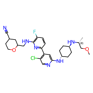 COC[C@@H](C)N[C@H]1CC[C@H](Nc2cc(-c3ccc(F)c(NCC4CC(C#N)CCO4)n3)c(Cl)cn2)CC1